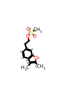 Cc1oc2cc(CCOS(C)(=O)=O)ccc2c1C